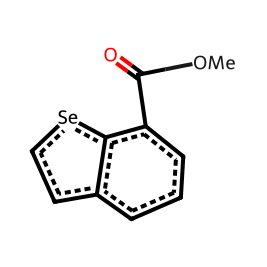 COC(=O)c1cccc2cc[se]c12